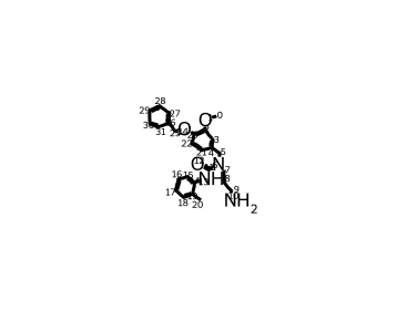 COc1cc(CN(CCCN)C(=O)Nc2ccccc2C)ccc1OCc1ccccc1